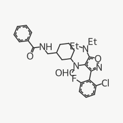 CCN(CC)c1onc(-c2c(F)cccc2Cl)c1N(C=O)C1CCCC(CNC(=O)c2ccccc2)C1